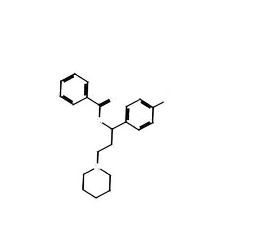 O=C(NC(CCN1CCCCC1)c1ccc(Cl)cc1)c1ccccc1